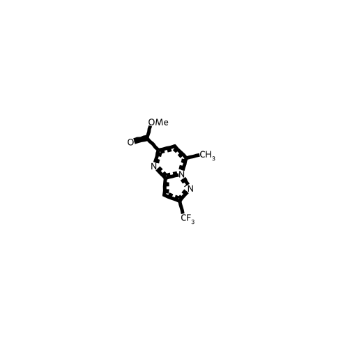 COC(=O)c1cc(C)n2nc(C(F)(F)F)cc2n1